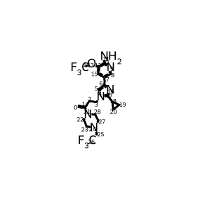 C=C(CCn1cc(-c2cnc(N)c(OC(F)(F)F)c2)nc1C1CC1)N1CCN(CC(F)(F)F)CC1